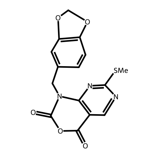 CSc1ncc2c(=O)oc(=O)n(Cc3ccc4c(c3)OCO4)c2n1